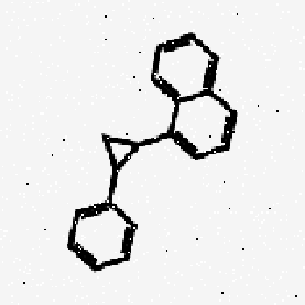 c1ccc(C2CC2c2cccc3ccccc23)cc1